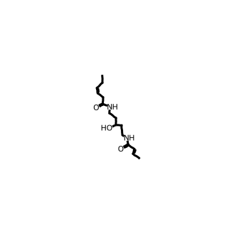 C/C=C/C(=O)NCCC(O)CCNC(=O)C/C=C\CC